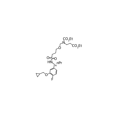 CCC[C@@H](NS(=O)(=O)CCCOCN(CCC(=O)OCC)C(=O)OCC)c1ccc(F)c(OCC2CC2)c1